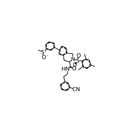 Cc1cc(C)c(S(=O)(=O)N2Cc3ccc(-c4cccc([S+](C)[O-])c4)cc3CC2C(=O)NCCc2cccc(C#N)c2)c(C)c1